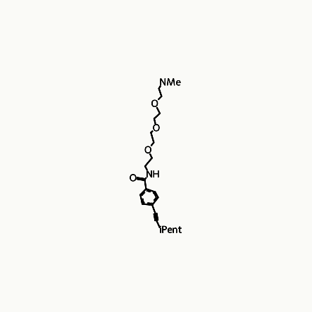 CCCC(C)C#Cc1ccc(C(=O)NCCOCCOCCOCCNC)cc1